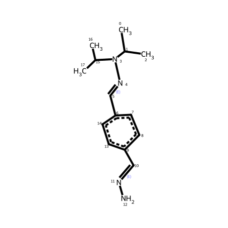 CC(C)N(/N=C/c1ccc(/C=N/N)cc1)C(C)C